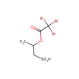 O=C(OC(CS(=O)(=O)O)C(F)(F)F)C(Br)(Br)Br